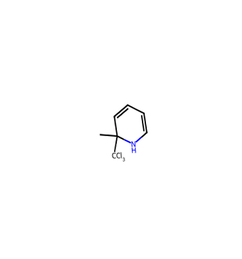 CC1(C(Cl)(Cl)Cl)C=CC=CN1